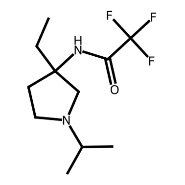 CCC1(NC(=O)C(F)(F)F)CCN(C(C)C)C1